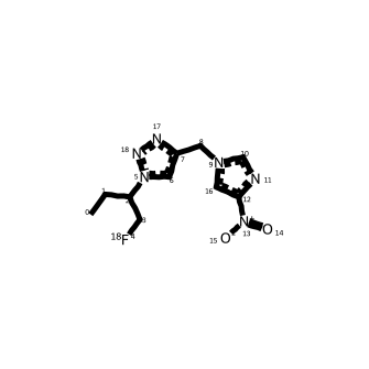 CCC(C[18F])n1cc(Cn2cnc([N+](=O)[O-])c2)nn1